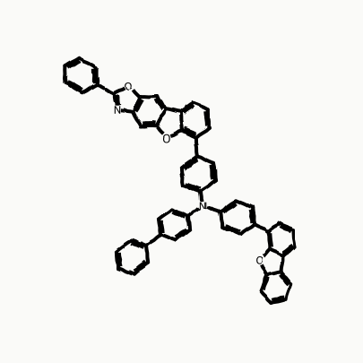 c1ccc(-c2ccc(N(c3ccc(-c4cccc5c4oc4ccccc45)cc3)c3ccc(-c4cccc5c4oc4cc6nc(-c7ccccc7)oc6cc45)cc3)cc2)cc1